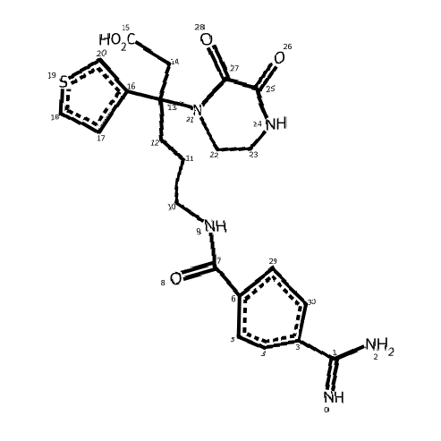 N=C(N)c1ccc(C(=O)NCCCC(CC(=O)O)(c2ccsc2)N2CCNC(=O)C2=O)cc1